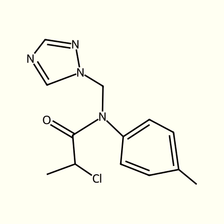 Cc1ccc(N(Cn2cncn2)C(=O)C(C)Cl)cc1